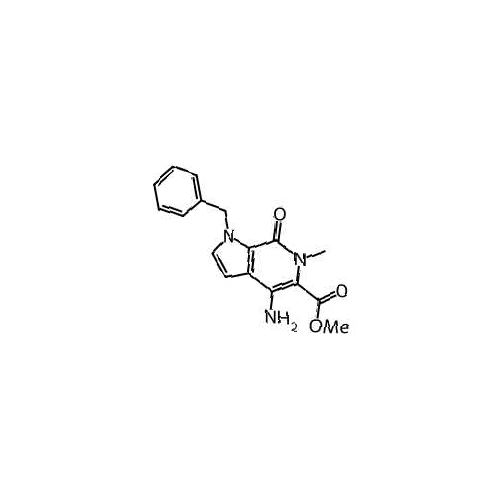 COC(=O)c1c(N)c2ccn(Cc3ccccc3)c2c(=O)n1C